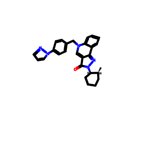 C[C@@H]1CCCC[C@H]1n1nc2c3ccccc3n(Cc3ccc(-n4cccn4)cc3)cc-2c1=O